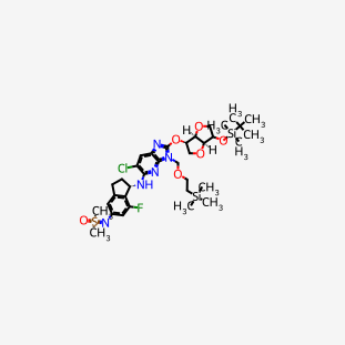 CC(C)(C)[Si](C)(C)OC1CO[C@H]2[C@@H]1OC[C@H]2Oc1nc2cc(Cl)c(N[C@H]3CCc4cc(N=S(C)(C)=O)cc(F)c43)nc2n1COCC[Si](C)(C)C